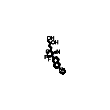 N#C/C(C(=O)CCC(O)CO)=C(\c1ccc2cc(N3CCCC3)ccc2c1)C(F)(F)F